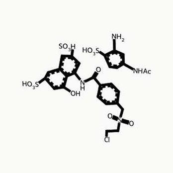 CC(=O)Nc1ccc(S(=O)(=O)O)c(N)c1.O=C(Nc1cc(S(=O)(=O)O)cc2cc(S(=O)(=O)O)cc(O)c12)c1ccc(CS(=O)(=O)CCCl)cc1